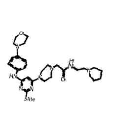 CSc1nc(Nc2ccc(N3CCOCC3)cc2)cc(N2CCN(CC(=O)NCCN3CCCCC3)CC2)n1